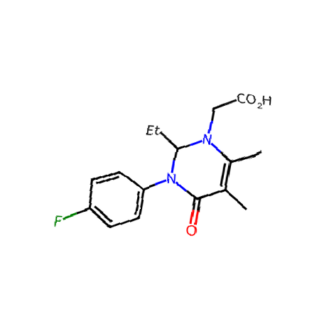 CCC1N(CC(=O)O)C(C)=C(C)C(=O)N1c1ccc(F)cc1